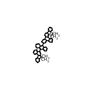 CC1(C)c2ccccc2-c2c1cc(-c1c3ccccc3c(-c3ccc4c(c3)c3ccccc3c3c5c(ccc43)-c3ccccc3[Si]5(C)C)c3ccccc13)c1ccccc21